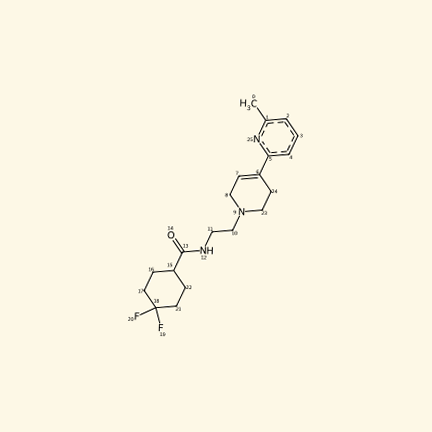 Cc1cccc(C2=CCN(CCNC(=O)C3CCC(F)(F)CC3)CC2)n1